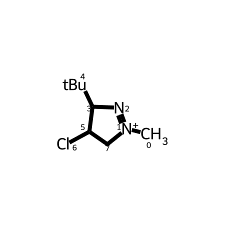 C[N+]1=NC(C(C)(C)C)C(Cl)C1